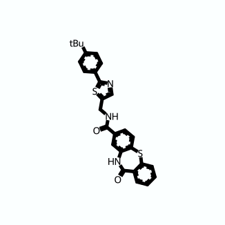 CC(C)(C)c1ccc(-c2ncc(CNC(=O)c3ccc4c(c3)NC(=O)c3ccccc3S4)s2)cc1